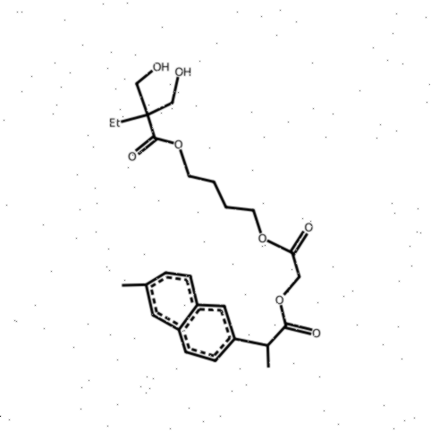 CCC(CO)(CO)C(=O)OCCCCOC(=O)COC(=O)C(C)c1ccc2cc(C)ccc2c1